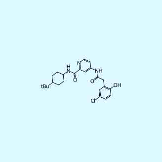 CC(C)(C)C1CCC(NC(=O)c2cc(NC(=O)Cc3cc(Cl)ccc3O)ccn2)CC1